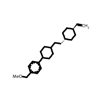 C=C[C@H]1CC[C@H](CCC2CCC(c3ccc(COC)cc3)CC2)CC1